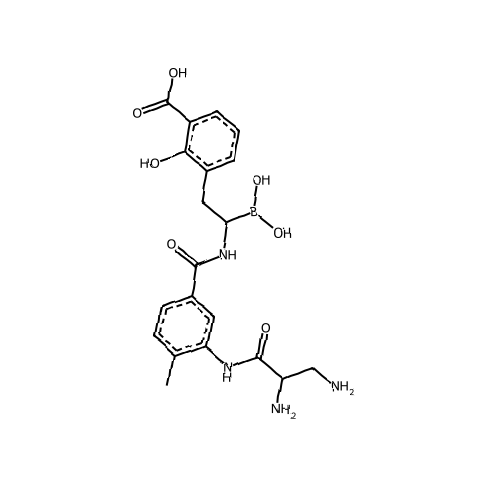 Cc1ccc(C(=O)NC(Cc2cccc(C(=O)O)c2O)B(O)O)cc1NC(=O)C(N)CN